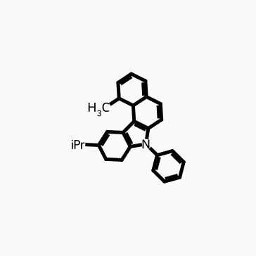 CC(C)C1=Cc2c3c(n(-c4ccccc4)c2CC1)C=CC1=CC=CC(C)C13